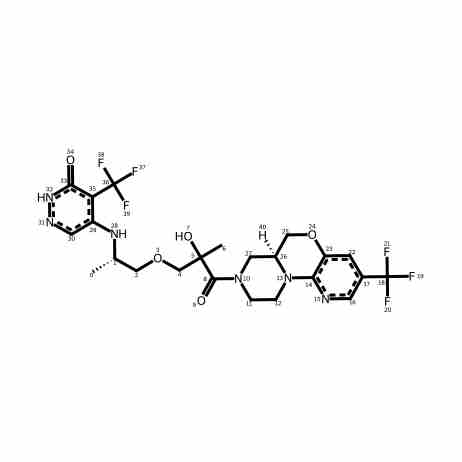 C[C@@H](COCC(C)(O)C(=O)N1CCN2c3ncc(C(F)(F)F)cc3OC[C@@H]2C1)Nc1cn[nH]c(=O)c1C(F)(F)F